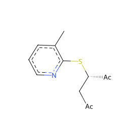 CC(=O)C[C@H](Sc1ncccc1C)C(C)=O